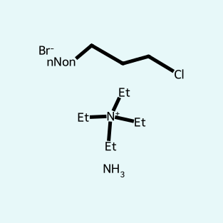 CCCCCCCCCCCCCl.CC[N+](CC)(CC)CC.N.[Br-]